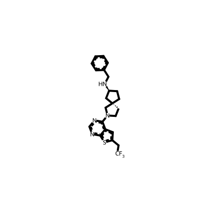 FC(F)(F)Cc1cc2c(N3CC[C@]4(CC[C@H](NCc5ccccc5)C4)C3)ncnc2s1